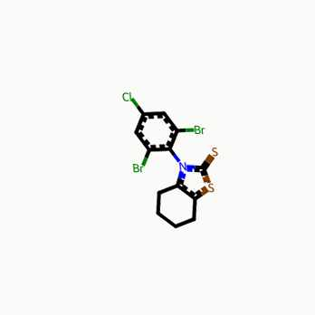 S=c1sc2c(n1-c1c(Br)cc(Cl)cc1Br)CCCC2